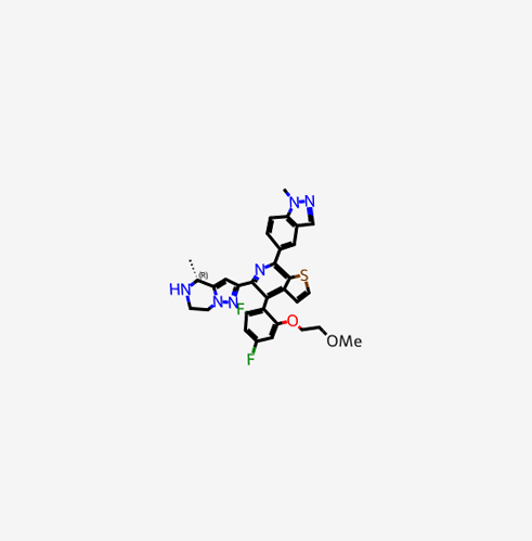 COCCOc1cc(F)cc(F)c1-c1c(-c2cc3n(n2)CCN[C@@H]3C)nc(-c2ccc3c(cnn3C)c2)c2sccc12